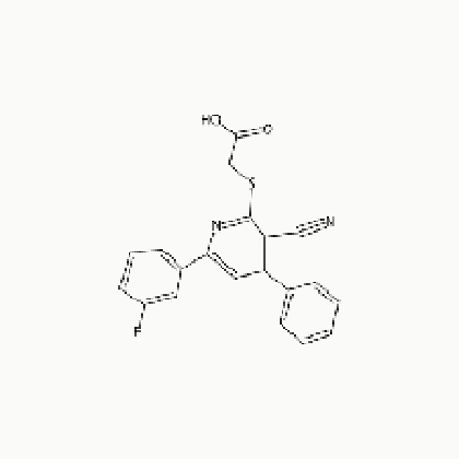 N#Cc1c(-c2ccccc2)cc(-c2cccc(F)c2)nc1SCC(=O)O